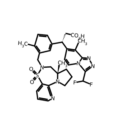 Cc1ccc([C@H](CC(=O)O)c2ccn3c(C(F)F)nnc3c2C)cc1CN1C[C@]2(C)CCCN2c2ncccc2S1(=O)=O